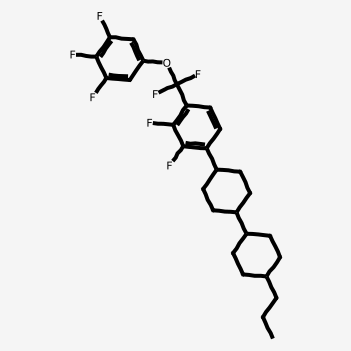 CCCC1CCC(C2CCC(c3ccc(C(F)(F)Oc4cc(F)c(F)c(F)c4)c(F)c3F)CC2)CC1